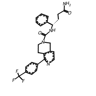 NC(=O)CC[C@H](NC(=O)N1CCc2c(ccnc2-c2ccc(C(F)(F)F)cc2)C1)c1ccccc1